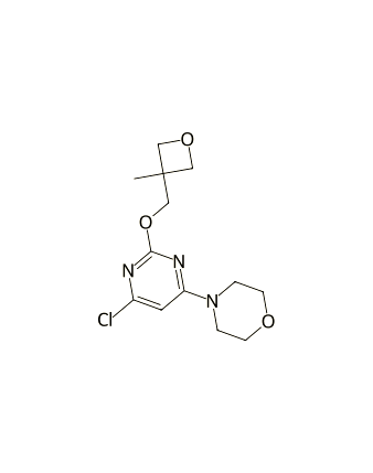 CC1(COc2nc(Cl)cc(N3CCOCC3)n2)COC1